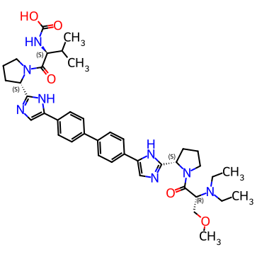 CCN(CC)[C@H](COC)C(=O)N1CCC[C@H]1c1ncc(-c2ccc(-c3ccc(-c4cnc([C@@H]5CCCN5C(=O)[C@@H](NC(=O)O)C(C)C)[nH]4)cc3)cc2)[nH]1